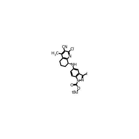 Cc1c(C#N)c(Cl)nc2c1CCC[C@@H]2Nc1ccc2c(c1)c(I)nn2C(=O)OC(C)(C)C